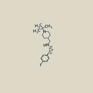 CC(C)(C)N1CCC(CN[C@@H]2C[C@H]2c2ccc(I)cc2)CC1